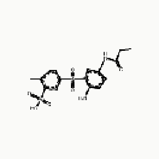 CCC(=O)Nc1ccc(N)c(S(=O)(=O)c2ccc(C)c(S(=O)(=O)O)c2)c1